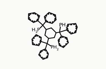 PC(c1ccccc1)(c1ccccc1)C1CC(C(P)(c2ccccc2)c2ccccc2)CC(C(P)(c2ccccc2)c2ccccc2)C1